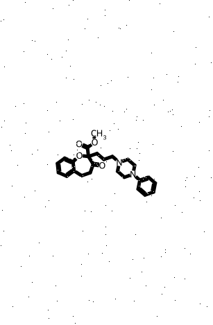 COC(=O)C1(CCCN2CCN(c3ccccc3)CC2)Oc2ccccc2CCC1=O